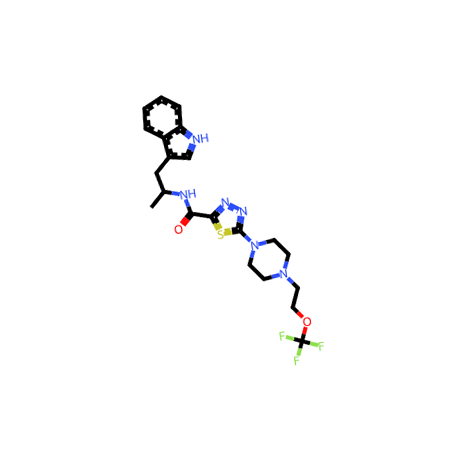 CC(Cc1c[nH]c2ccccc12)NC(=O)c1nnc(N2CCN(CCOC(F)(F)F)CC2)s1